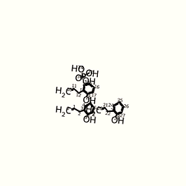 C=CCc1ccccc1O.C=CCc1ccccc1O.C=CCc1ccccc1O.O=P(O)(O)O